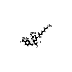 CCCCOc1nc(NC(=O)CCCCCC(C)(C)C)c2[nH]c(=O)n(Cc3ccc(C(=O)OC)cc3)c2n1